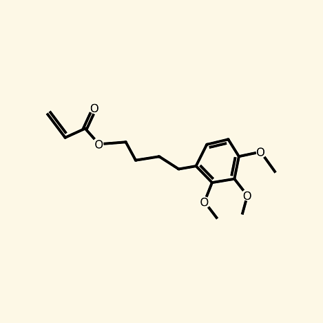 C=CC(=O)OCCCCc1ccc(OC)c(OC)c1OC